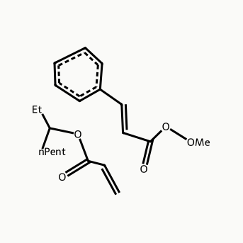 C=CC(=O)OC(CC)CCCCC.COOC(=O)C=Cc1ccccc1